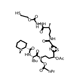 CCCC(=O)OCN(CC[C@@H](OC(C)=O)c1nc(C(=O)NCC[C@H](C)C(=O)NNC(=O)OCCS)cs1)C(=O)[C@@H](NC(=O)[C@H]1CCCCN1C)[C@H](C)CC